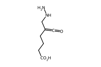 NNCC(=C=O)CCCC(=O)O